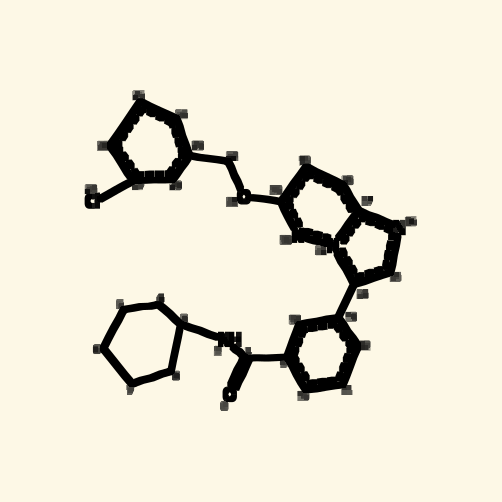 O=C(NC1CCCCC1)c1cccc(-c2cnc3ccc(OCc4cccc(Cl)c4)nn23)c1